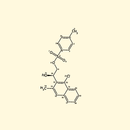 Cc1ccc(S(=O)(=O)OC[C@H](O)c2c(C)cc3ccccc3c2Cl)cc1